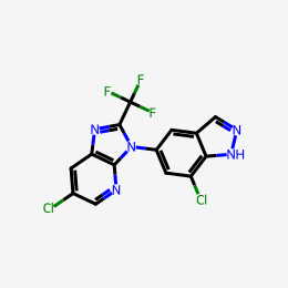 FC(F)(F)c1nc2cc(Cl)cnc2n1-c1cc(Cl)c2[nH]ncc2c1